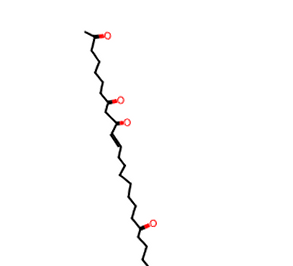 CCCCC(=O)CCCCCCCC=CC(=O)CC(=O)CCCCCC(C)=O